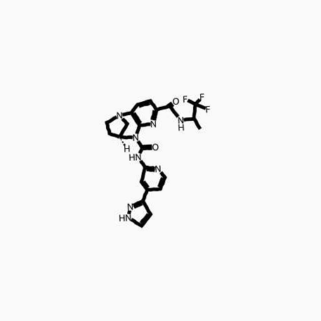 CC(NC(=O)c1ccc2c(n1)N(C(=O)Nc1cc(-c3cc[nH]n3)ccn1)[C@H]1CCN2C1)C(F)(F)F